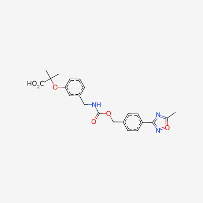 Cc1nc(-c2ccc(COC(=O)NCc3cccc(OC(C)(C)C(=O)O)c3)cc2)no1